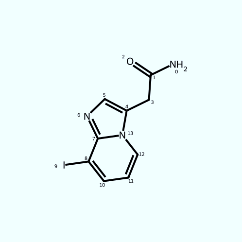 NC(=O)Cc1cnc2c(I)cccn12